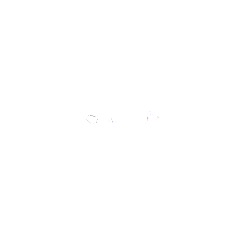 O=C(CCCCCNC(=O)CC1CSc2ccccc21)NO